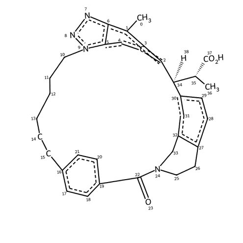 Cc1c2ccc3c1nnn3CCCCCCc1ccc(cc1)C(=O)N1CCc3ccc(cc3C1)[C@@H]2[C@@H](C)C(=O)O